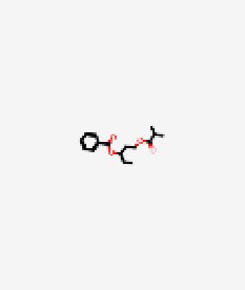 CCC(CCOC(=O)C(C)C)OC(=O)c1ccccc1